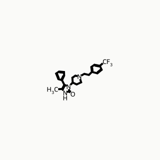 Cc1[nH]c(=O)n(C2CCN(CCc3ccc(C(F)(F)F)cc3)CC2)c1-c1ccccc1